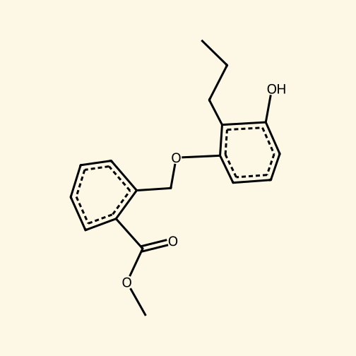 CCCc1c(O)cccc1OCc1ccccc1C(=O)OC